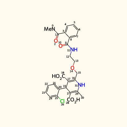 CNC(=O)c1ccccc1C(=O)NCCOCC1=C(C(=O)O)C(c2ccccc2Cl)C(C(=O)O)=C(C)N1